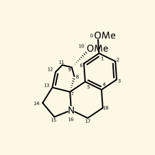 COc1ccc2c(c1)[C@]13C[C@@H](OC)CC=C1CCN3CC2